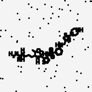 CC(=O)C(CCCNC(=N)N)NC(=O)c1sccc1NS(=O)(=O)c1cccc(NCc2csc(N3CCNCC3)n2)c1